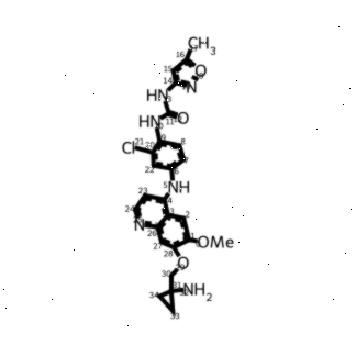 COc1cc2c(Nc3ccc(NC(=O)Nc4cc(C)on4)c(Cl)c3)ccnc2cc1OCC1(N)CC1